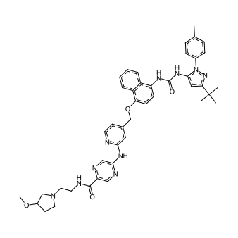 COC1CCN(CCNC(=O)c2cnc(Nc3cc(COc4ccc(NC(=O)Nc5cc(C(C)(C)C)nn5-c5ccc(C)cc5)c5ccccc45)ccn3)cn2)C1